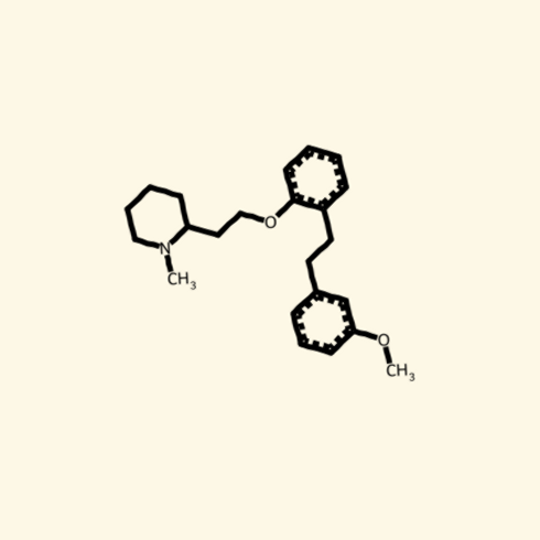 COc1cccc(CCc2ccccc2OCCC2CCCCN2C)c1